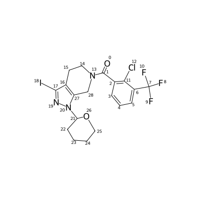 O=C(c1cccc(C(F)(F)F)c1Cl)N1CCc2c(I)nn(C3CCCCO3)c2C1